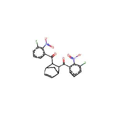 O=C(c1cccc(F)c1[N+](=O)[O-])C1C2C=CC(C2)C1C(=O)c1cccc(F)c1[N+](=O)[O-]